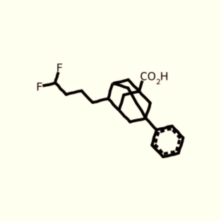 O=C(O)C12CC3CC(c4ccccc4)(CC(C1)C3CCCC(F)F)C2